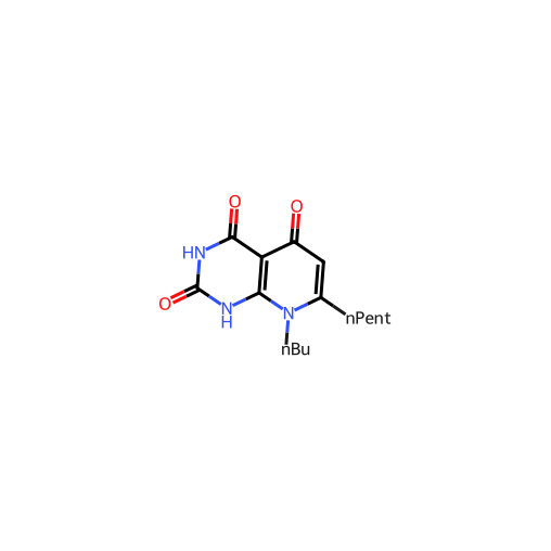 CCCCCc1cc(=O)c2c(=O)[nH]c(=O)[nH]c2n1CCCC